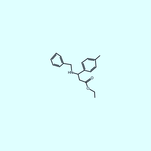 CCOC(=O)CC(NCc1ccccc1)c1ccc(C)cc1